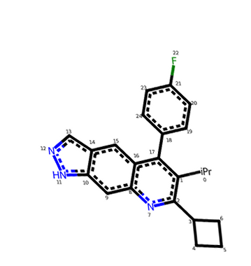 CC(C)c1c(C2CCC2)nc2cc3[nH]ncc3cc2c1-c1ccc(F)cc1